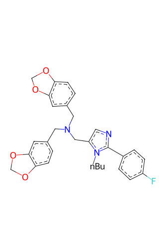 CCCCn1c(CN(Cc2ccc3c(c2)OCO3)Cc2ccc3c(c2)OCO3)cnc1-c1ccc(F)cc1